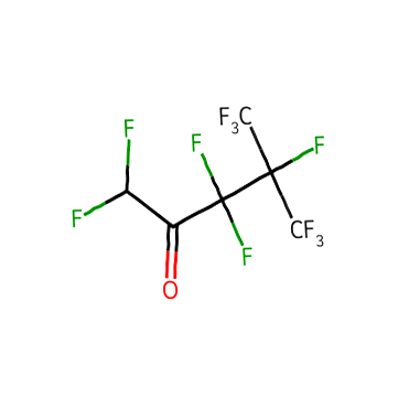 O=C(C(F)F)C(F)(F)C(F)(C(F)(F)F)C(F)(F)F